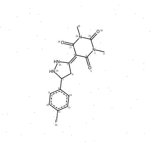 CN1C(=O)C(=C2CC(c3ccc(F)cc3)NN2)C(=O)N(C)C1=O